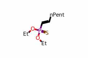 CCCCCC=CP(=S)(OCC)OCC